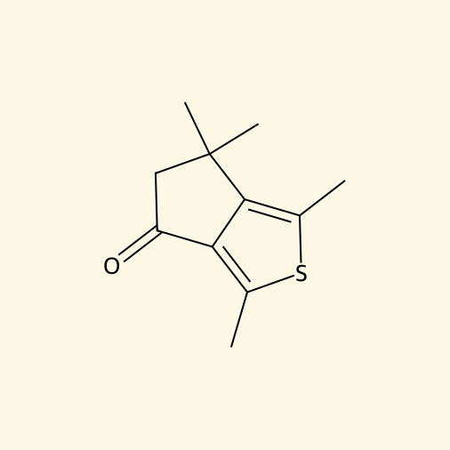 Cc1sc(C)c2c1C(=O)CC2(C)C